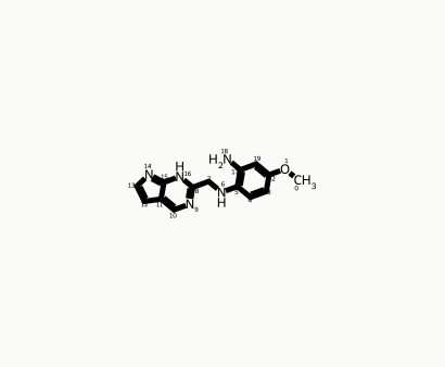 COc1ccc(NCc2ncc3ccnc-3[nH]2)c(N)c1